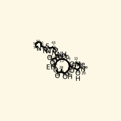 CCC[C@H]1C(=O)[C@H](C)C[C@@](C)(OC)[C@H](O[C@@H]2O[C@H](C)C[C@H](N(C)C)[C@H]2O)[C@@H](C)/C(O)=C(\C)C(=O)O[C@@H](CC)[C@@]2(C)OC(=O)[C@@H](/C(N)=N/O[C@@H](C)c3nnc(-c4ccccn4)s3)[C@H]12